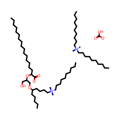 CCCCCCCCCCCCCCCCC(OC(CO)COC(CCCCC)CCCC[N+](C)(C)CCCCCCCCCC)C(=O)[O-].CCCCCCCCCC[N+](C)(C)CCCCCCCCCC.O=C([O-])O